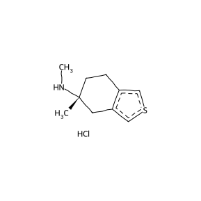 CN[C@]1(C)CCc2cscc2C1.Cl